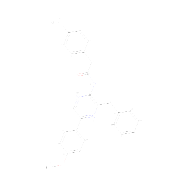 COc1ccc(CC(=O)Nc2ncc(-c3ccc(OC(C)C)cc3)nc2Cc2ccccc2)cc1